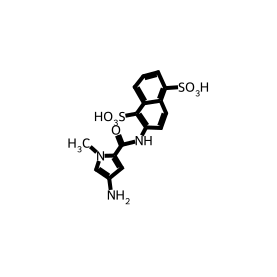 Cn1cc(N)cc1C(=O)Nc1ccc2c(S(=O)(=O)O)cccc2c1S(=O)(=O)O